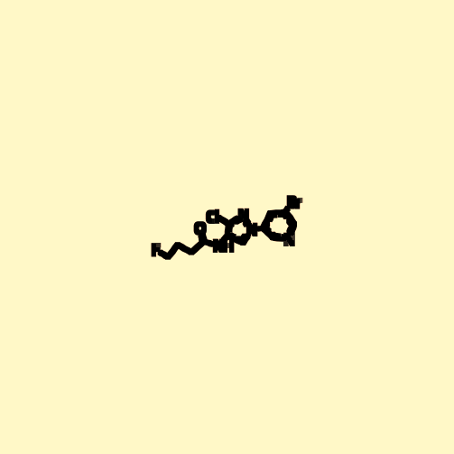 O=C(CCCF)Nc1cn(-c2cncc(Br)c2)nc1Cl